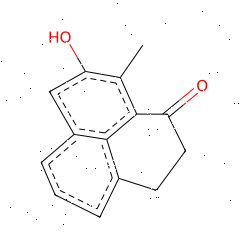 Cc1c(O)cc2cccc3c2c1C(=O)CC3